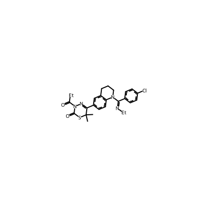 CCN=C(c1ccc(Cl)cc1)N1CCCc2cc(C3=NN(C(=O)CC)C(=O)SC3(C)C)ccc21